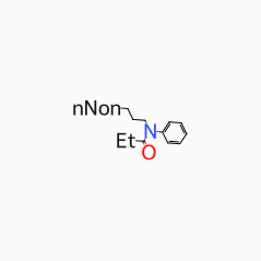 CCCCCCCCCCCCN(C(=O)CC)c1ccccc1